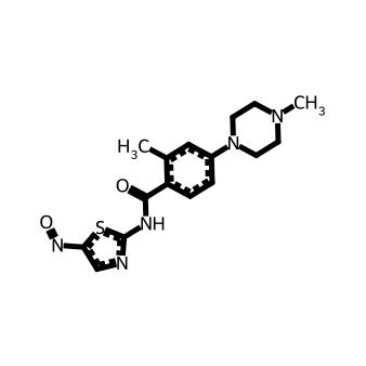 Cc1cc(N2CCN(C)CC2)ccc1C(=O)Nc1ncc(N=O)s1